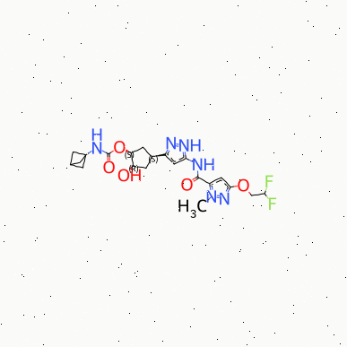 Cn1nc(OCC(F)F)cc1C(=O)Nc1cc([C@H]2C[C@@H](O)[C@@H](OC(=O)NC34CC(C3)C4)C2)n[nH]1